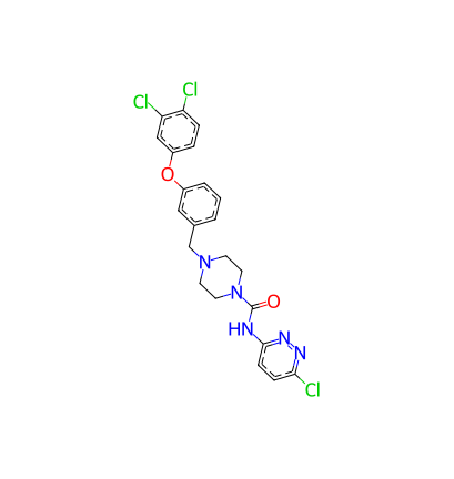 O=C(Nc1ccc(Cl)nn1)N1CCN(Cc2cccc(Oc3ccc(Cl)c(Cl)c3)c2)CC1